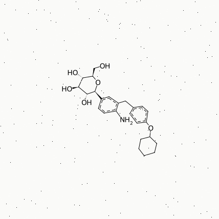 Nc1ccc([C@@H]2O[C@H](CO)[C@@H](O)[C@H](O)[C@H]2O)cc1Cc1ccc(OC2CCCCC2)cc1